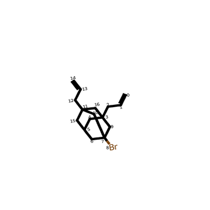 C=CCC12CC3CC(Br)(C1)CC(CC=C)(C3)C2